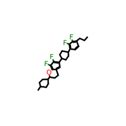 CCCc1ccc(C2CCC(c3cc4c(c(F)c3F)OC(C3CCC(C)CC3)CC4)CC2)c(F)c1F